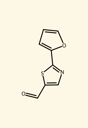 O=Cc1cnc(-c2ccco2)s1